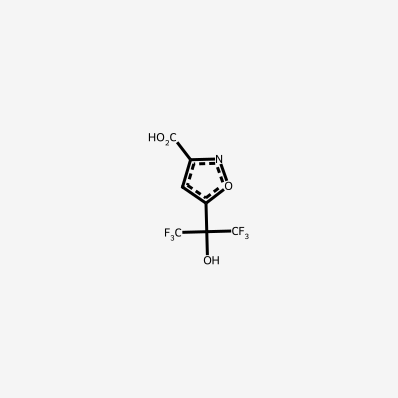 O=C(O)c1cc(C(O)(C(F)(F)F)C(F)(F)F)on1